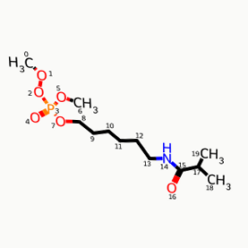 COOP(=O)(OC)OCCCCCCNC(=O)C(C)C